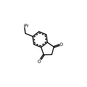 CC(C)Cc1ccc2c(c1)C(=O)CC2=O